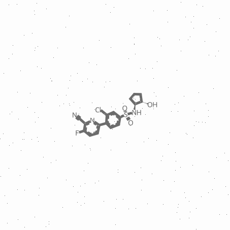 N#Cc1nc(-c2ccc(S(=O)(=O)N[C@H]3CCC[C@@H]3O)cc2Cl)ccc1F